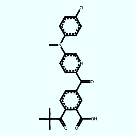 CN(c1ccc(Cl)cc1)c1ccc(C(=O)c2ccc(C(=O)C(C)(C)C)c(C(=O)O)c2)nc1